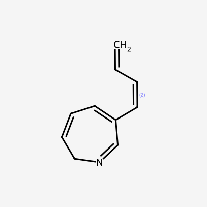 C=C/C=C\C1=CC=CCN=C1